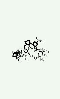 COc1c(CN2O[C@@H](CO)[C@H]([C@H](C)O)[C@H]2C(=O)N[C@H]2C[C@H]3C[C@@H]([C@@H]2C)C3(C)C)cccc1-c1cc(C(=O)N[C@H](CN(C)C)C(C)C)cc([N+](=O)O)c1